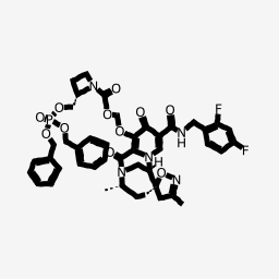 CC1=NO[C@@]2(CC[C@H](C)N3C[C@H]2n2cc(C(=O)NCc4ccc(F)cc4F)c(=O)c(OCOC(=O)N4CC[C@H]4COP(=O)(OCc4ccccc4)OCc4ccccc4)c2C3=O)C1